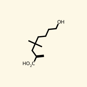 C=C(CC(C)(C)CCCCO)C(=O)O